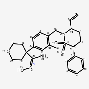 C=C[C@H]1CC[C@H](c2ccccc2)S(=O)(=O)N1Cc1ccc(C2(/C(N)=N\O)CCOCC2)cc1F